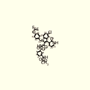 CS(=O)(=O)Nc1cccc(S(=O)(=O)NC(=O)c2c(-c3ccc[nH]c3=O)c3cc(Cl)ccc3n2Cc2ccc(OC(F)F)cc2)c1